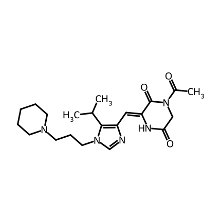 CC(=O)N1CC(=O)N/C(=C\c2ncn(CCCN3CCCCC3)c2C(C)C)C1=O